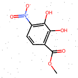 COC(=O)c1ccc([N+](=O)[O-])c(O)c1O